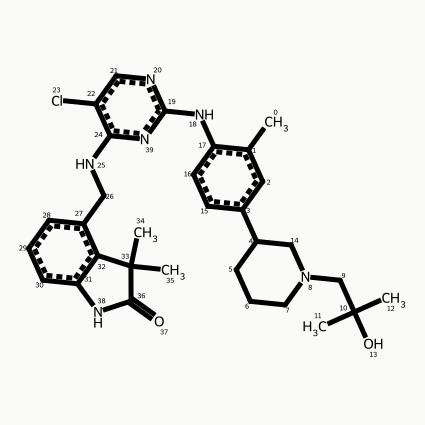 Cc1cc(C2CCCN(CC(C)(C)O)C2)ccc1Nc1ncc(Cl)c(NCc2cccc3c2C(C)(C)C(=O)N3)n1